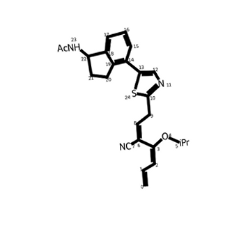 C=C/C=C(OC(C)C)\C(C#N)=C/Cc1ncc(-c2cccc3c2CCC3NC(C)=O)s1